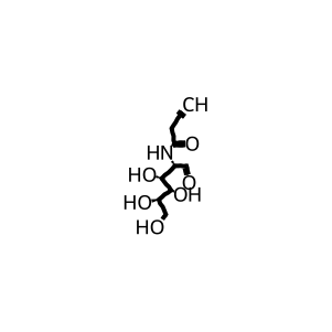 C#CCC(=O)N[C@H](C=O)[C@@H](O)[C@H](O)[C@H](O)CO